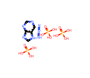 O=P(O)(O)O.O=P(O)(O)O.O=P(O)(O)O.[N-]=[N+]=N.c1ncc2[nH]cnc2n1